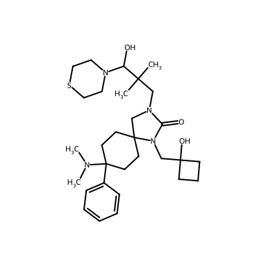 CN(C)C1(c2ccccc2)CCC2(CC1)CN(CC(C)(C)C(O)N1CCSCC1)C(=O)N2CC1(O)CCC1